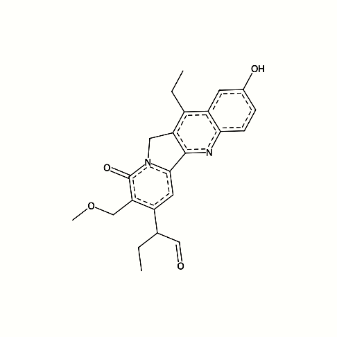 CCc1c2c(nc3ccc(O)cc13)-c1cc(C(C=O)CC)c(COC)c(=O)n1C2